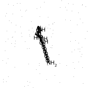 CCCO[C@H](CC(C(C)C)N(CCC)C(=O)[C@@H](NC(=O)[C@H]1CCCCN1C)[C@@H](C)CC)c1nc(C(=O)N[C@@H](Cc2ccc(NC(=O)CCOCCOCCOCCOCCOCCOCCOCCOCCN)cc2)C(=O)O)cs1